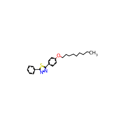 CCCCCCCCCOc1ccc(-c2nnc(-c3ccccc3)s2)cc1